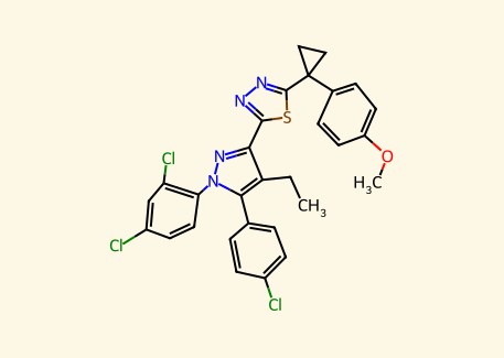 CCc1c(-c2nnc(C3(c4ccc(OC)cc4)CC3)s2)nn(-c2ccc(Cl)cc2Cl)c1-c1ccc(Cl)cc1